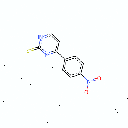 O=[N+]([O-])c1ccc(-c2cc[nH]c(=S)n2)cc1